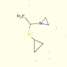 CC(SC1CC1)N1CC1